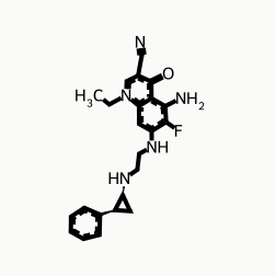 CCn1cc(C#N)c(=O)c2c(N)c(F)c(NCCN[C@@H]3C[C@H]3c3ccccc3)cc21